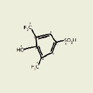 O=S(=O)(O)c1cc(C(F)(F)F)c(O)c(C(F)(F)F)c1